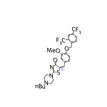 CCCCN1CCN(C2=NC(=O)/C(=C\c3ccc(OCc4ccc(C(F)(F)F)cc4C(F)(F)F)c(OC)c3)S2)CC1